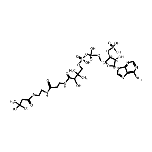 CCC(C)(O)CC(=O)SCCNC(=O)CCNC(=O)C(O)C(C)(C)COP(=O)(O)OP(=O)(O)OC[C@H]1O[C@@H](n2cnc3c(N)ncnc32)[C@H](O)[C@@H]1OP(=O)(O)O